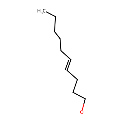 CCCCCC=CCCC[O]